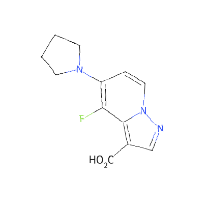 O=C(O)c1cnn2ccc(N3CCCC3)c(F)c12